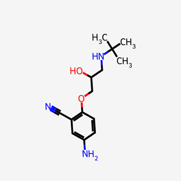 CC(C)(C)NCC(O)COc1ccc(N)cc1C#N